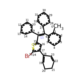 Cc1ccccc1/C(=C(/c1ccccc1)c1cc(C2=CCCC=C2)c(Br)s1)c1ccccc1